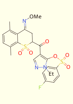 CCn1ncc(C(=O)C2CC(=NOC)c3c(C)ccc(C)c3S2(=O)=O)c1OS(=O)(=O)c1ccc(F)cc1